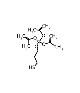 C=C(C)O[Si](OCCCS)(OC(=C)C)OC(=C)C